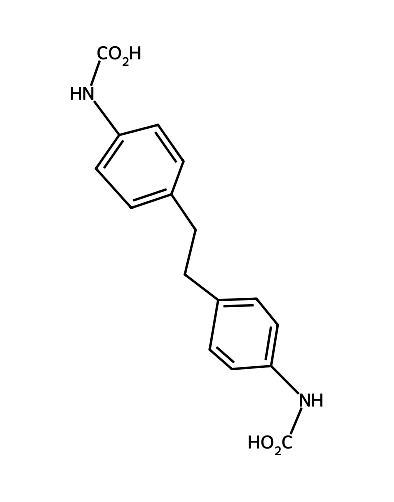 O=C(O)Nc1ccc(CCc2ccc(NC(=O)O)cc2)cc1